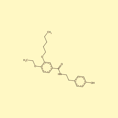 CCCCCOc1cc(C(=O)NCCc2ccc(O)cc2)ccc1OCC